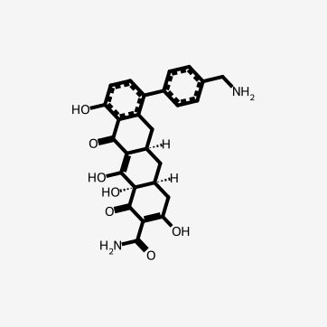 NCc1ccc(-c2ccc(O)c3c2C[C@H]2C[C@H]4CC(O)=C(C(N)=O)C(=O)[C@@]4(O)C(O)=C2C3=O)cc1